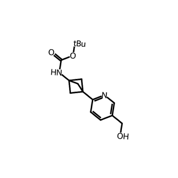 CC(C)(C)OC(=O)NC12CC(c3ccc(CO)cn3)(C1)C2